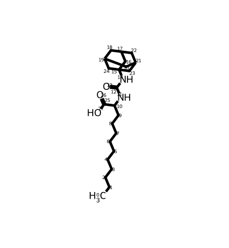 CCCCCCCCCCC(NC(=O)NC12CC3CC(CC(C3)C1)C2)C(=O)O